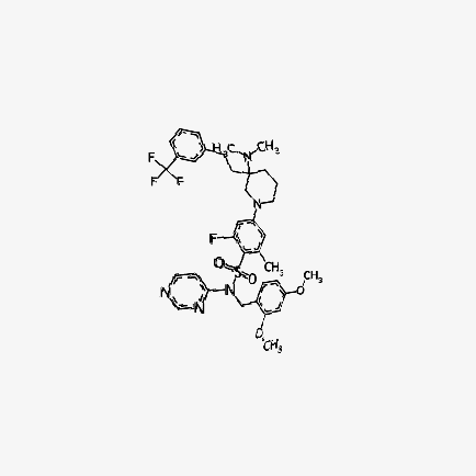 COc1ccc(CN(c2ccncn2)S(=O)(=O)c2c(C)cc(N3CCCC(CCc4cccc(C(F)(F)F)c4)(N(C)C)C3)cc2F)c(OC)c1